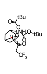 CC(C)(C)OC(=O)NC1C2CC3C[C@@H]1C([C@H]2OC(=O)C(C)(C)C)N(C(=O)CC(F)(F)F)C3